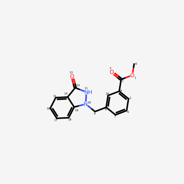 COC(=O)c1cccc(Cn2[nH]c(=O)c3ccccc32)c1